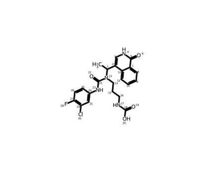 CC(c1c[nH]c(=O)c2ccccc12)N(CCCNC(=O)O)C(=O)Nc1ccc(F)c(Cl)c1